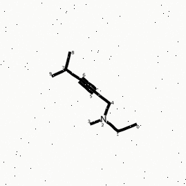 CCN(C)CC#CC(C)C